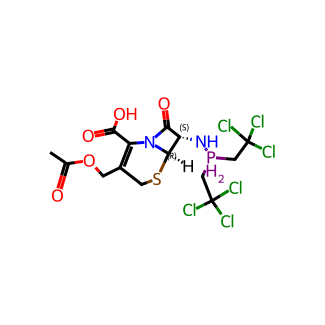 CC(=O)OCC1=C(C(=O)O)N2C(=O)[C@H](N[PH2](CC(Cl)(Cl)Cl)CC(Cl)(Cl)Cl)[C@H]2SC1